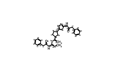 C=C(S/C(=N\C)NC(=O)Cc1ccccc1)C1CCC(c2nnc(NC(=O)Cc3ccccc3)s2)C1